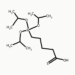 CC(C)O[Si](CCCCC(O)=S)(OC(C)C)OC(C)C